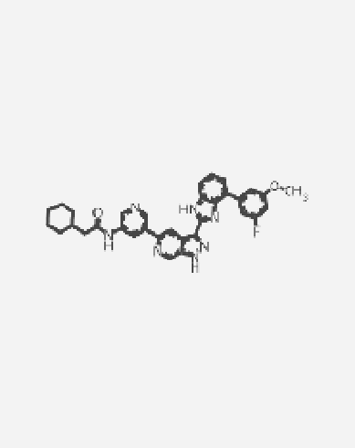 COc1cc(F)cc(-c2cccc3[nH]c(-c4n[nH]c5cnc(-c6cncc(NC(=O)CC7CCCCC7)c6)cc45)nc23)c1